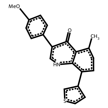 COc1ccc(-c2c[nH]c3c(-c4ccsc4)ccc(C)c3c2=O)cc1